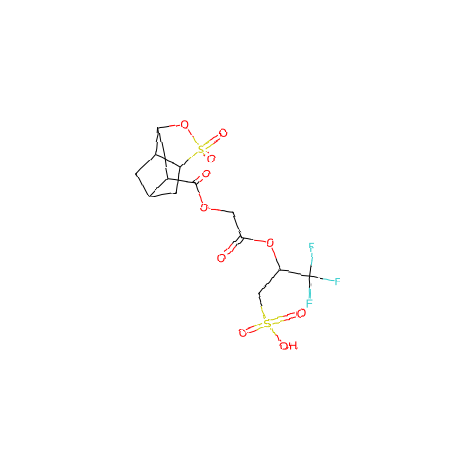 O=C(COC(=O)C1C2CC3C1OS(=O)(=O)C3C2)OC(CS(=O)(=O)O)C(F)(F)F